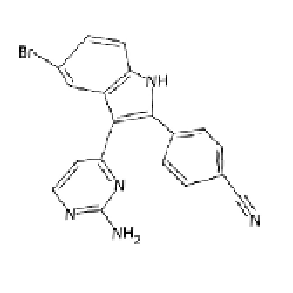 N#Cc1ccc(-c2[nH]c3ccc(Br)cc3c2-c2ccnc(N)n2)cc1